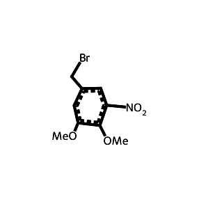 COc1cc(CBr)cc([N+](=O)[O-])c1OC